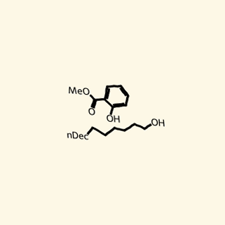 CCCCCCCCCCCCCCCCO.COC(=O)c1ccccc1O